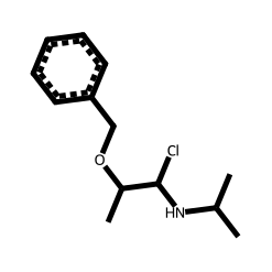 CC(C)NC(Cl)C(C)OCc1ccccc1